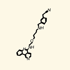 N#CCc1cccc(CNCCCCOCCNc2nc3ccccc3c3cnccc23)c1